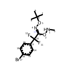 CNO/C(=N\OC(C)(C)C)C(F)(F)c1ccc(Br)cc1